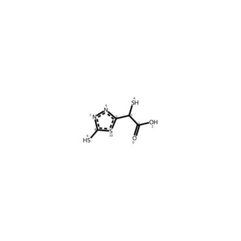 O=C(O)C(S)c1nnc(S)s1